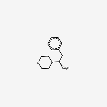 O=C(O)[C@H](Cc1ccccc1)N1CCOCC1